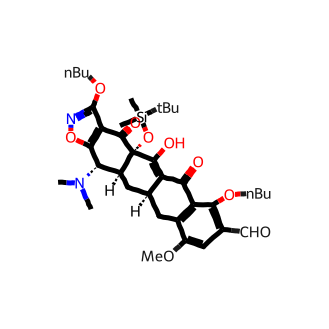 CCCCOc1noc2c1C(=O)[C@@]1(O[Si](C)(C)C(C)(C)C)C(O)=C3C(=O)c4c(c(OC)cc(C=O)c4OCCCC)C[C@H]3C[C@H]1[C@@H]2N(C)C